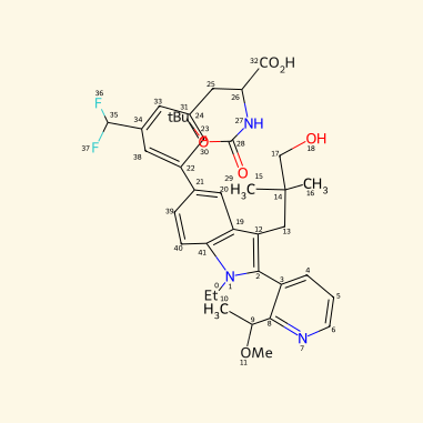 CCn1c(-c2cccnc2C(C)OC)c(CC(C)(C)CO)c2cc(-c3cc(CC(NC(=O)OC(C)(C)C)C(=O)O)cc(C(F)F)c3)ccc21